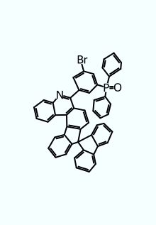 O=P(c1ccccc1)(c1ccccc1)c1cc(Br)cc(-c2nc3ccccc3c3c4c(ccc23)C2(c3ccccc3-c3ccccc32)c2ccccc2-4)c1